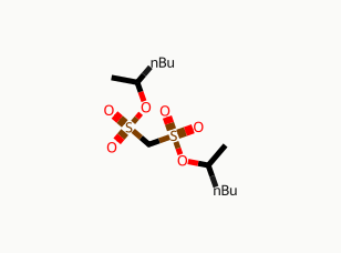 CCCCC(C)OS(=O)(=O)CS(=O)(=O)OC(C)CCCC